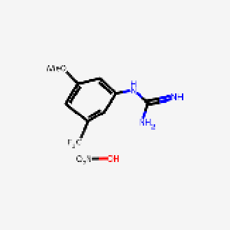 COc1cc(NC(=N)N)cc(C(F)(F)F)c1.O=[N+]([O-])O